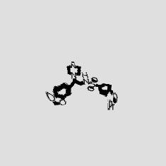 CC(C)Oc1ccc(S(=O)(=O)NCC(c2ccc3c(c2)OCO3)N2CCN(C)CC2)cc1